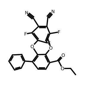 CCOC(=O)c1ccc(-c2ccccc2)c(Oc2c(F)c(F)c(C#N)c(C#N)c2F)c1OC